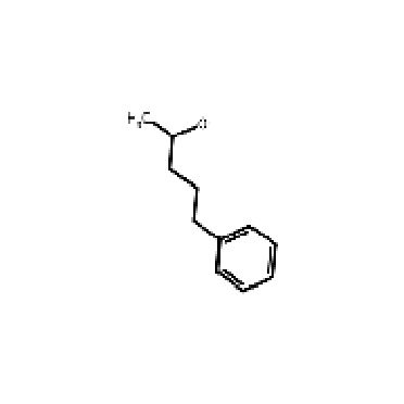 CC([O])CCCc1ccccc1